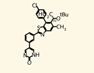 Cc1cc2nc(-c3cccc(-c4cnc(=O)[nH]c4)c3)sc2c(-c2ccc(Cl)cc2)c1[C@H](OC(C)(C)C)C(=O)O